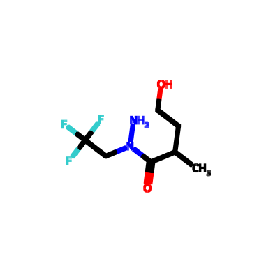 CC(CCO)C(=O)N(N)CC(F)(F)F